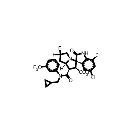 O=C(O)[C@H]1[C@@H](C(=O)N(CC2CC2)c2cccc(C(F)(F)F)c2)[C@H]2CC(F)(F)CN2[C@]12C(=O)Nc1c(Cl)cc(Cl)cc12